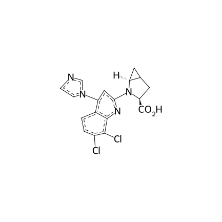 O=C(O)[C@@H]1CC2C[C@@H]2N1c1cc(-n2ccnc2)c2ccc(Cl)c(Cl)c2n1